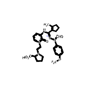 CC1=C(/C(=N\N(C=O)c2ccc(OC(F)(F)F)cc2)Nc2cccn(CCN3CCCC3C(=O)O)c2=O)CCC1